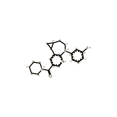 O=C(c1cnc2c(c1)C1CC1CCN2c1cccc(F)c1)N1CCCCC1